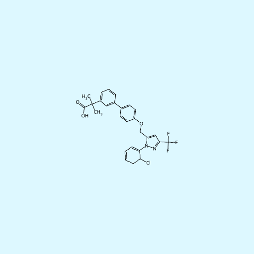 CC(C)(C(=O)O)c1cccc(-c2ccc(OCc3cc(C(F)(F)F)nn3C3=CC=CCC3Cl)cc2)c1